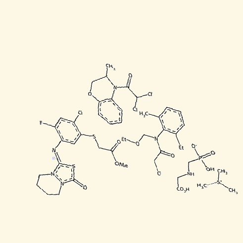 CC1COc2ccccc2N1C(=O)C(Cl)Cl.CCOCN(C(=O)CCl)c1c(C)cccc1CC.COC(=O)CSc1cc(/N=c2\sc(=O)n3n2CCCC3)c(F)cc1Cl.C[S+](C)C.O=C(O)CNCP(=O)([O-])O